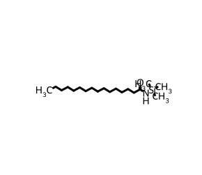 CCCCCCCCCCCCCCCC(=O)N[Si](C)(C)C